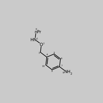 CCCNOCc1ccc(N)cc1